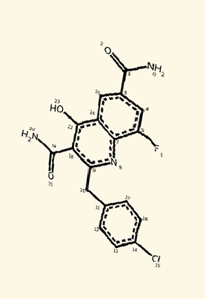 NC(=O)c1cc(F)c2nc(Cc3ccc(Cl)cc3)c(C(N)=O)c(O)c2c1